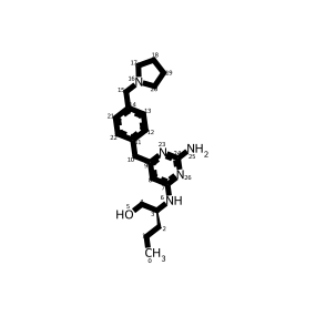 CCC[C@@H](CO)Nc1cc(Cc2ccc(CN3CCCC3)cc2)nc(N)n1